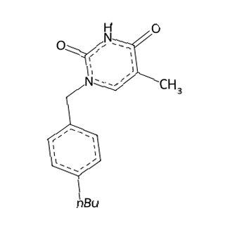 CCCCc1ccc(Cn2cc(C)c(=O)[nH]c2=O)cc1